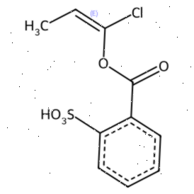 C/C=C(/Cl)OC(=O)c1ccccc1S(=O)(=O)O